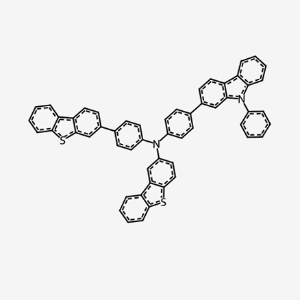 c1ccc(-n2c3ccccc3c3ccc(-c4ccc(N(c5ccc(-c6ccc7c(c6)sc6ccccc67)cc5)c5ccc6sc7ccccc7c6c5)cc4)cc32)cc1